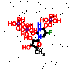 C[C@H]1O[C@@H](n2cc(F)c(=O)[nH]c2=O)[C@H](O)[C@@H]1O.O=P(O)(O)O.O=P(O)(O)O.O=P(O)(O)O